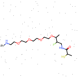 CC(C)NCCOCCOCCOCCOC(C)C(F)CNC(=O)C(C)S